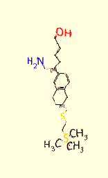 CS(C)(C)CCSC[C@@H]1CCc2cc([C@H](CN)CCCCO)ccc2C1